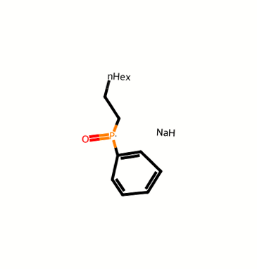 CCCCCCCC[P](=O)c1ccccc1.[NaH]